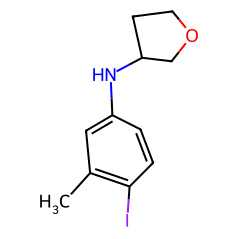 Cc1cc(NC2CCOC2)ccc1I